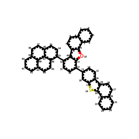 c1ccc2c(c1)ccc1c2oc2c(-c3ccc4c(c3)sc3c5ccccc5ccc43)ccc(-c3ccc4ccc5cccc6ccc3c4c56)c21